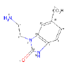 NCCn1c(=O)[nH]c2ccc(C(=O)O)cc21